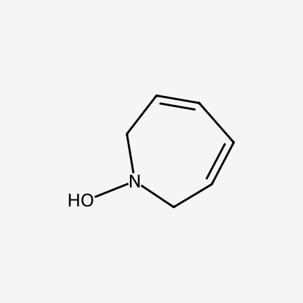 ON1CC=CC=CC1